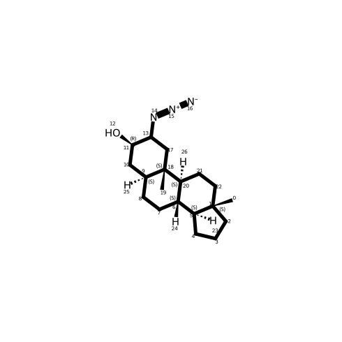 C[C@@]12CCC[C@H]1[C@@H]1CC[C@H]3C[C@@H](O)C(N=[N+]=[N-])C[C@]3(C)[C@H]1CC2